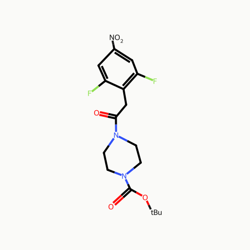 CC(C)(C)OC(=O)N1CCN(C(=O)Cc2c(F)cc([N+](=O)[O-])cc2F)CC1